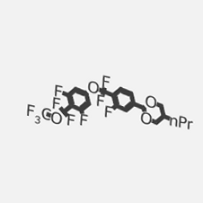 CCCC1COC(c2ccc(C(F)(F)Oc3cc(F)c(C(F)(F)OC(F)(F)F)c(F)c3)c(F)c2)OC1